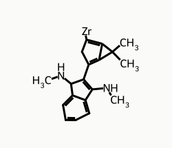 CNC1=C(C2=C3C(=[C]([Zr])C2)C3(C)C)C(NC)c2ccccc21